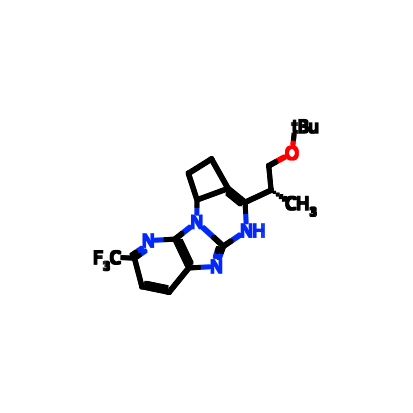 C[C@@H](COC(C)(C)C)C1=C2CCC2n2c(nc3ccc(C(F)(F)F)nc32)N1